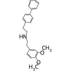 COc1ccc(CCNCCc2ccc(-c3ccccc3)cc2)cc1OC